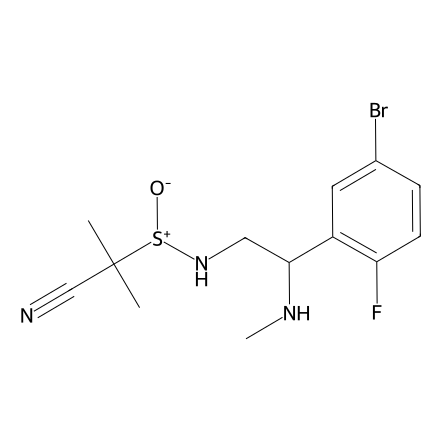 CNC(CN[S+]([O-])C(C)(C)C#N)c1cc(Br)ccc1F